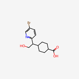 O=C(O)C1CCC(C(CO)c2ccc(Br)cn2)CC1